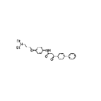 CCN(CC)CCCOc1ccc(NC(=O)CC(=O)c2ccc(-c3ccccc3)cc2)cc1